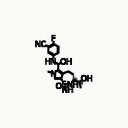 C[C@H](O)[C@H]1CCc2c(cn(C)c2C(O)Nc2ccc(F)c(C#N)c2)S(=N)(=O)N1